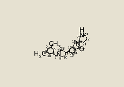 Cc1cc(C)cc(CN2CCC(c3ccc4c(c3)CN(C3CCCNC3)C4=O)CC2)c1